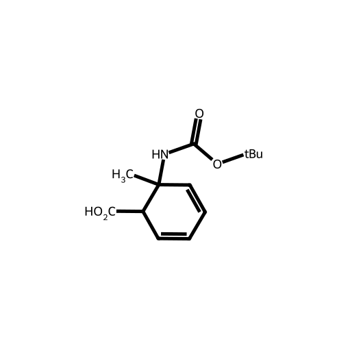 CC(C)(C)OC(=O)NC1(C)C=CC=CC1C(=O)O